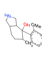 COc1ccccc1C1(O)C(C)CCC2CNCC21